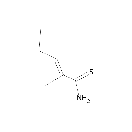 CC/C=C(\C)C(N)=S